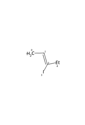 [CH2]/C=C(\I)CC